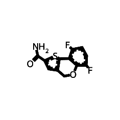 NC(=O)c1cc2c(s1)-c1c(F)ccc(F)c1OC2